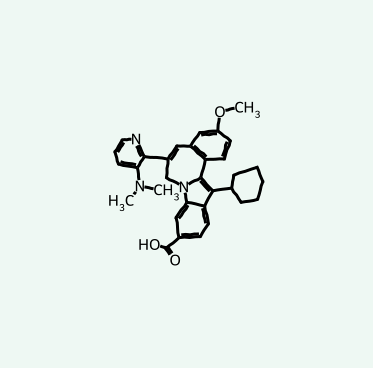 COc1ccc2c(c1)C=C(c1ncccc1N(C)C)Cn1c-2c(C2CCCCC2)c2ccc(C(=O)O)cc21